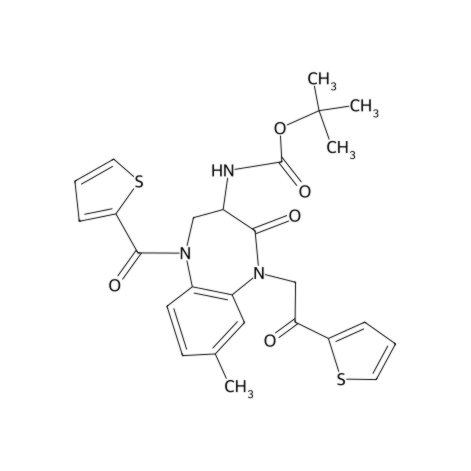 Cc1ccc2c(c1)N(CC(=O)c1cccs1)C(=O)C(NC(=O)OC(C)(C)C)CN2C(=O)c1cccs1